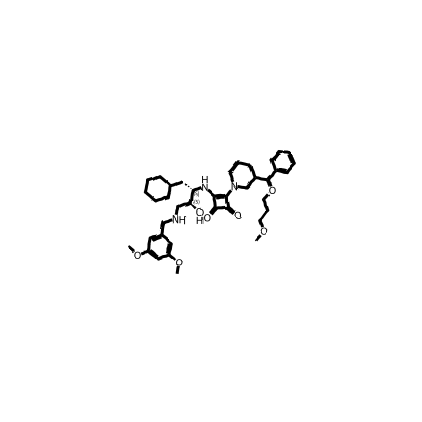 COCCCOC(c1ccccc1)C1CCCN(c2c(N[C@@H](CC3CCCCC3)[C@@H](O)CNCc3cc(OC)cc(OC)c3)c(=O)c2=O)C1